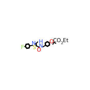 CCOC(=O)C(C)(C)Oc1ccc(CNC(=O)c2sc(-c3ccc(F)cc3)nc2C)cc1